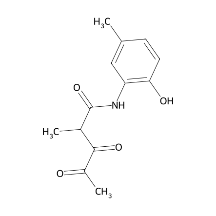 CC(=O)C(=O)C(C)C(=O)Nc1cc(C)ccc1O